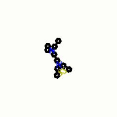 c1ccc(-c2ccc(N(c3ccc(-c4ccc(-n5c6ccc7c8ccccc8sc7c6c6c7sc8ccccc8c7ccc65)cc4)cc3)c3cccc4ccccc34)cc2)cc1